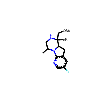 CCCC1(COC)NCC(C)N2c3ncc(F)cc3CC21